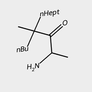 CCCCCCCC(C)(CCCC)C(=O)C(C)N